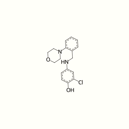 Oc1ccc(NCc2ccccc2N2CCOCC2)cc1Cl